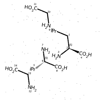 CC(C)C[C@H](N)C(=O)O.CC(C)[C@H](N)C(=O)O.NCC(=O)O.NCC(=O)O